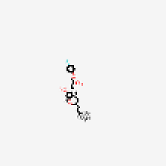 CCCC(CC[C@@H]1CC[C@@H]2[C@@H](C=C[C@@H](O)COc3ccc(F)cc3)[C@H](O)C[C@@H]2OC1)C(=O)O